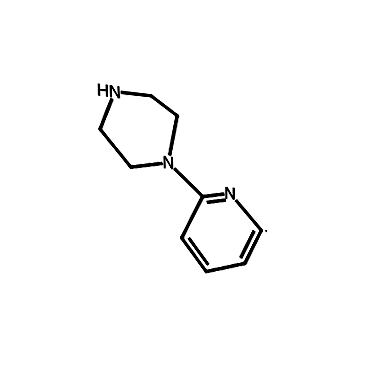 [c]1cccc(N2CCNCC2)n1